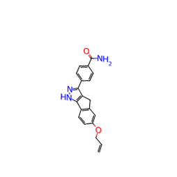 C=CCOc1ccc2c(c1)Cc1c(-c3ccc(C(N)=O)cc3)n[nH]c1-2